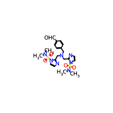 CN(C)S(=O)(=O)n1ccnc1CN(Cc1ccc(C=O)cc1)Cc1nccn1S(=O)(=O)N(C)C